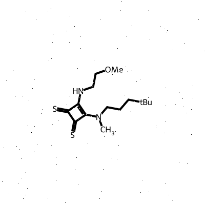 COCCNc1c(N(C)CCCC(C)(C)C)c(=S)c1=S